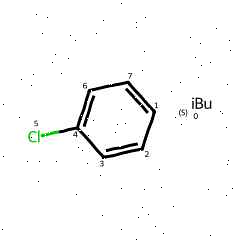 [CH2]C[C@H](C)c1ccc(Cl)cc1